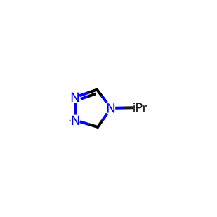 CC(C)N1C=N[N]C1